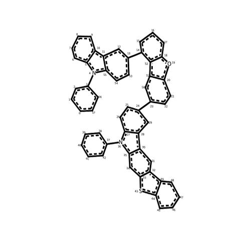 c1ccc(-n2c3ccccc3c3cc(-c4cccc5oc6ccc(-c7ccc8c(c7)c7cc9c(cc7n8-c7ccccc7)sc7ccccc79)cc6c45)ccc32)cc1